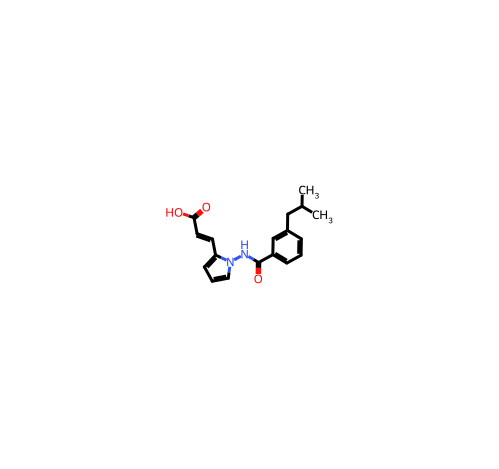 CC(C)Cc1cccc(C(=O)Nn2cccc2C=CC(=O)O)c1